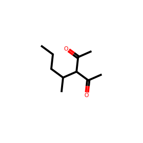 CCCC(C)C(C(C)=O)C(C)=O